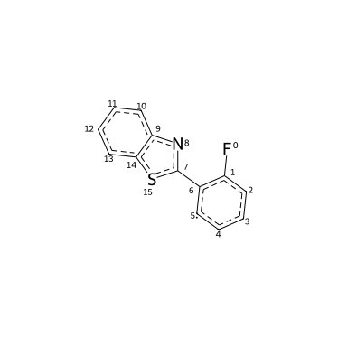 Fc1ccc[c]c1-c1nc2ccccc2s1